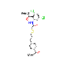 COC(=O)c1ccc(CCCSCC(=O)Nc2cc(Cl)cc(Cl)c2C(=O)OC)cc1